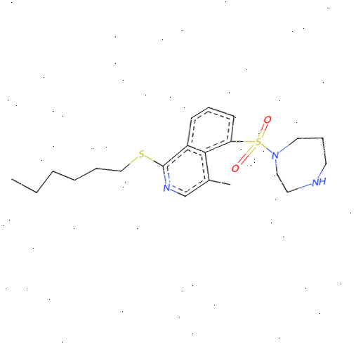 CCCCCCSc1ncc(C)c2c(S(=O)(=O)N3CCCNCC3)cccc12